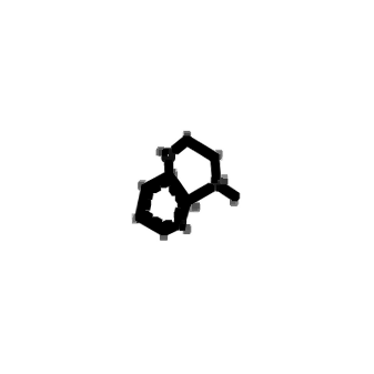 CN1CCOc2c[c]cnc21